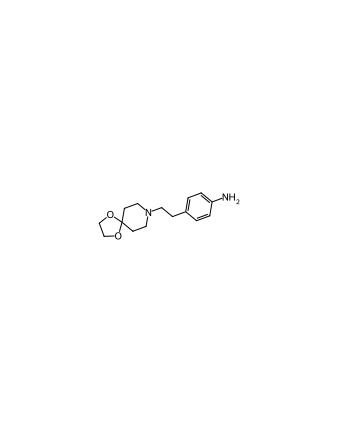 Nc1ccc(CCN2CCC3(CC2)OCCO3)cc1